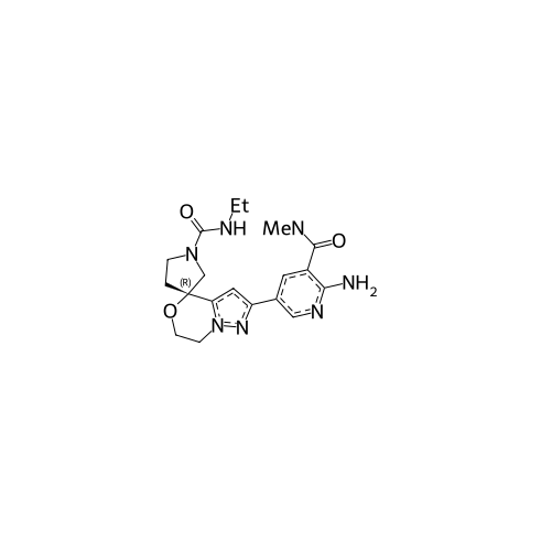 CCNC(=O)N1CC[C@]2(C1)OCCn1nc(-c3cnc(N)c(C(=O)NC)c3)cc12